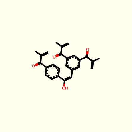 C=C(C)C(=O)c1ccc(/C(O)=C\c2cc(C(=O)C(=C)C)cc(C(=O)C(=C)C)c2)cc1